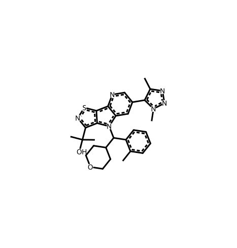 Cc1ccccc1C(C1CCOCC1)n1c2cc(-c3c(C)nnn3C)cnc2c2snc(C(C)(C)O)c21